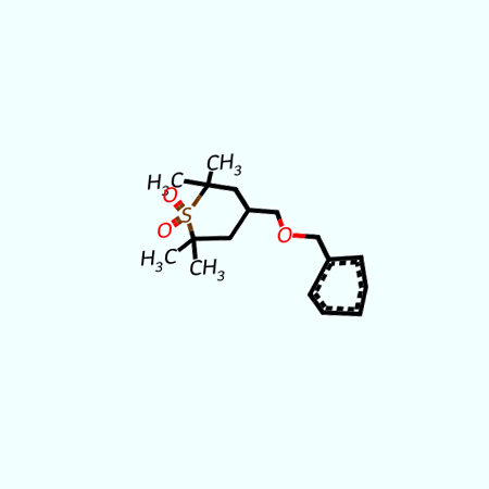 CC1(C)CC(COCc2ccccc2)CC(C)(C)S1(=O)=O